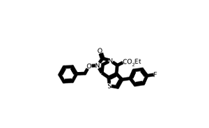 CCOC(=O)C1c2c(-c3ccc(F)cc3)csc2C2CN1C(=O)N2OCc1ccccc1